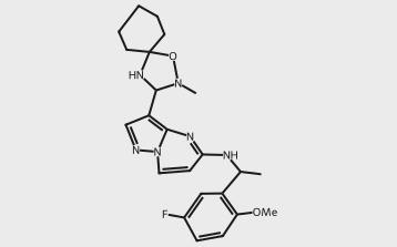 COc1ccc(F)cc1C(C)Nc1ccn2ncc(C3NC4(CCCCC4)ON3C)c2n1